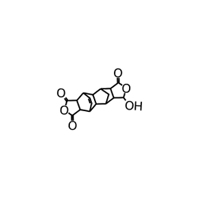 O=C1OC(=O)C2C3C=CC(C12)C1C2CC(C4C(O)OC(=O)C24)C31